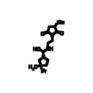 CC(C)C1(C)CCN(C(O)NCCN2C(=O)CC(C(C)(C)C)C2=O)C1